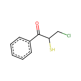 O=C(c1ccccc1)C(S)CCl